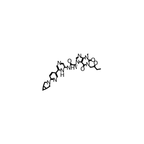 CCC(=O)Cn1c(=O)c2c(ncn2[C@@H](C)C(=O)NC2C=NC=C(c3ccc(N4CC5CC5C4)nc3)N2)n(C)c1=O